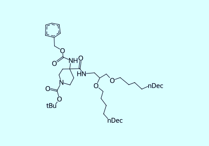 CCCCCCCCCCCCCCOCC(CNC(=O)C1(NC(=O)OCc2ccccc2)CCN(C(=O)OC(C)(C)C)CC1)OCCCCCCCCCCCCCC